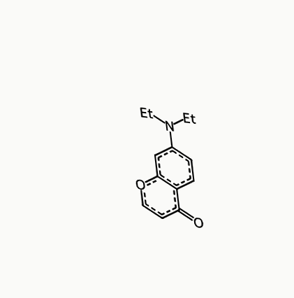 CCN(CC)c1ccc2c(=O)ccoc2c1